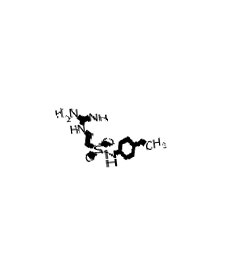 CCC1CCC(NS(=O)(=O)CCNC(=N)N)CC1